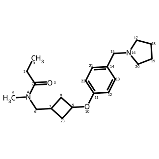 CCC(=O)N(C)CC1CC(Oc2ccc(CN3CCCC3)cc2)C1